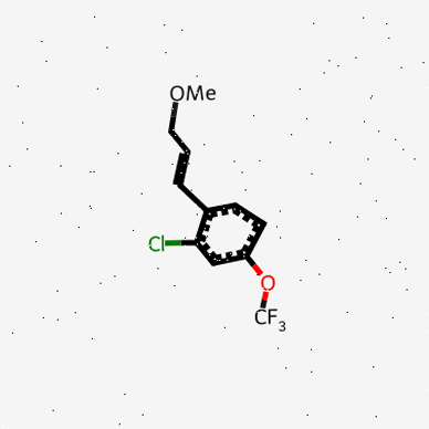 [CH2]OCC=Cc1ccc(OC(F)(F)F)cc1Cl